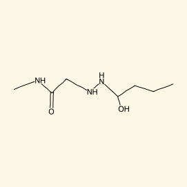 CCCC(O)NNCC(=O)NC